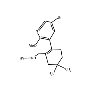 COc1ncc(Br)cc1C1=C(CNC(C)C)CC(C)(C)CC1